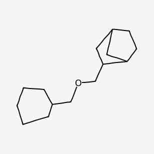 C1CCC(COCC2CC3CCC2C3)CC1